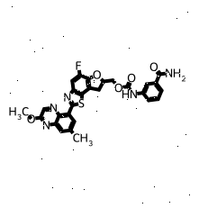 COc1cnc2c(-c3nc4cc(F)c5c(c4s3)CC(COC(=O)Nc3cccc(C(N)=O)c3)O5)cc(C)cc2n1